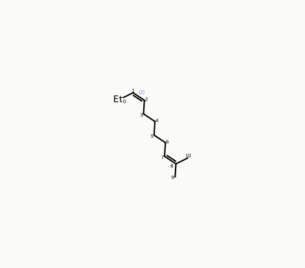 CC/C=C\CCCCC=C(C)C